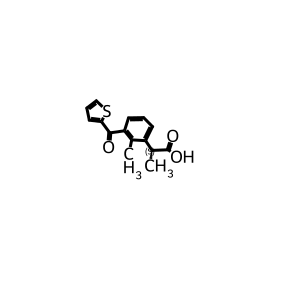 Cc1c(C(=O)c2cccs2)cccc1[C@H](C)C(=O)O